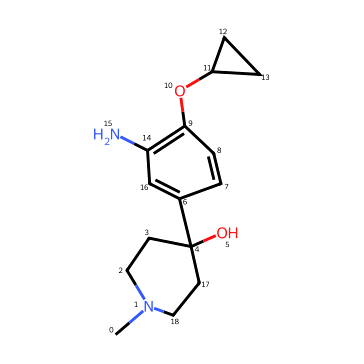 CN1CCC(O)(c2ccc(OC3CC3)c(N)c2)CC1